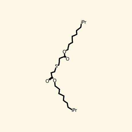 CC(C)CCCCCCCOC(=O)CCSCCC(=O)OCCCCCCCC(C)C